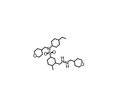 CCC1CCC(N(CC2CCOCC2)S(=O)(=O)C2CCC(C)C(CNNCC3CCOCC3)C2)CC1